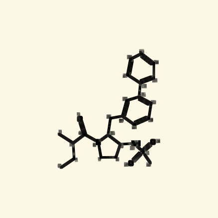 CCC(C)C(=O)N1CCC(NS(C)(=O)=O)C1Cc1cccc(-c2ccccc2)c1